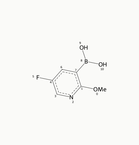 COc1ncc(F)cc1B(O)O